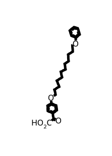 O=C(O)C(=O)c1ccc(OCCCCCCCCCCCCOc2ccccc2)cc1